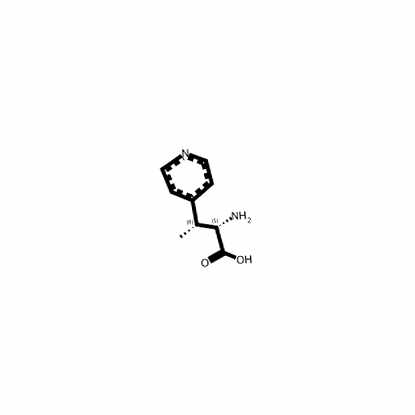 C[C@H](c1ccncc1)[C@H](N)C(=O)O